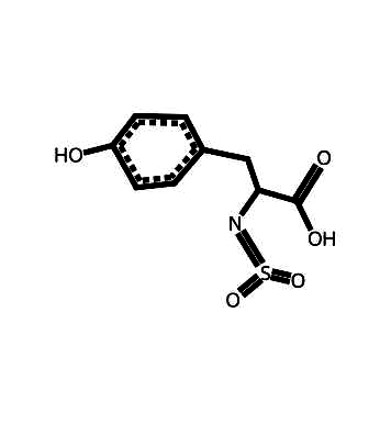 O=C(O)C(Cc1ccc(O)cc1)N=S(=O)=O